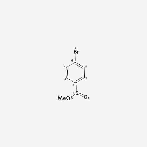 COS(=O)c1ccc(Br)cc1